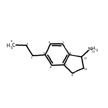 CCCc1ccc2c(c1)CCC2N